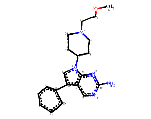 COCCN1CCC(n2cc(-c3ccccc3)c3cnc(N)nc32)CC1